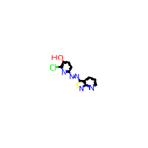 Oc1ccc(/N=N/c2snc3ncccc23)nc1Cl